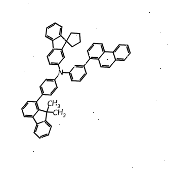 CC1(C)c2ccccc2-c2cccc(-c3ccc(N(c4cccc(-c5cccc6c5ccc5ccccc56)c4)c4ccc5c(c4)C4(CCCC4)c4ccccc4-5)cc3)c21